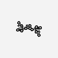 CC1(C)c2ccccc2-c2ccc(N(c3ccc4c(c3)[Si](C)(C)c3cccc5c3c-4cc3ccc(N(c4ccc6c(c4)C(C)(C)c4ccccc4-6)c4cccc6c4oc4ccccc46)cc35)c3cccc4c3oc3ccccc34)cc21